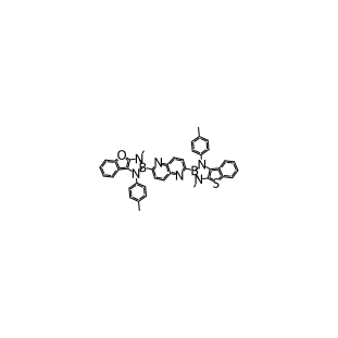 Cc1ccc(N2B(c3ccc4nc(B5N(C)c6sc7ccccc7c6N5c5ccc(C)cc5)ccc4n3)N(C)c3oc4ccccc4c32)cc1